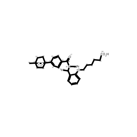 [2H]C(c1ccccc1OCCCCCC(=O)O)N(C(=O)c1ccc(C23CCC(C)(CC2)CC3)cc1)C(C)C